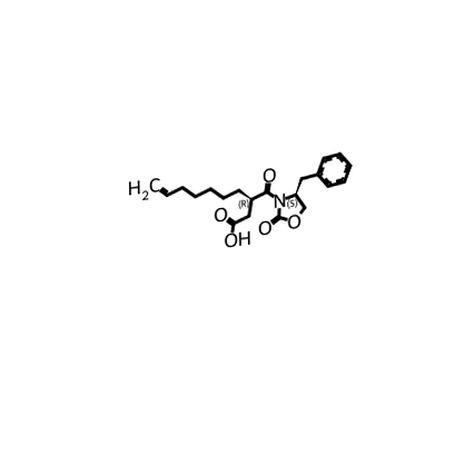 C=CCCCCC[C@H](CC(=O)O)C(=O)N1C(=O)OC[C@@H]1Cc1ccccc1